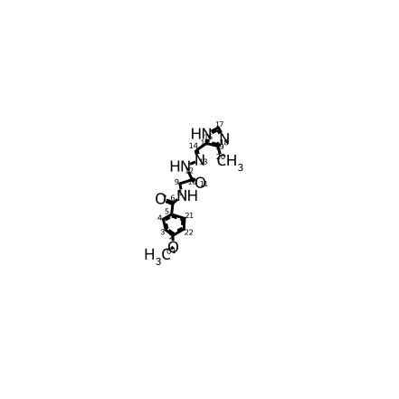 COc1ccc(C(=O)NCC(=O)N/N=C/c2[nH]cnc2C)cc1